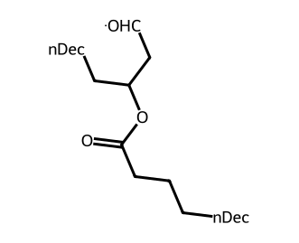 CCCCCCCCCCCCCC(=O)OC(C[C]=O)CCCCCCCCCCC